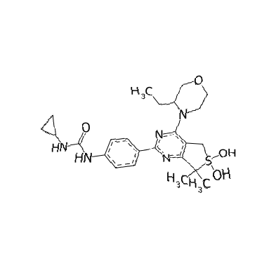 CCC1COCCN1c1nc(-c2ccc(NC(=O)NC3CC3)cc2)nc2c1CS(O)(O)C2(C)C